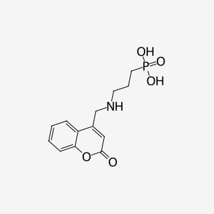 O=c1cc(CNCCCP(=O)(O)O)c2ccccc2o1